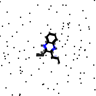 C/C=C/c1nc2ccccc2nc1OC